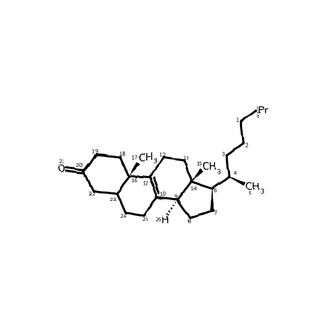 CC(C)CCC[C@@H](C)[C@H]1CC[C@H]2C3=C(CC[C@]12C)[C@@]1(C)CCC(=O)CC1CC3